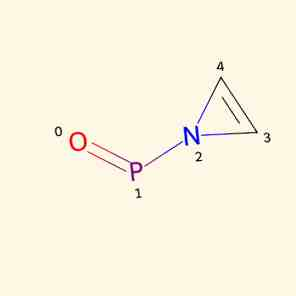 O=PN1C=C1